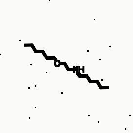 CCCCC=CNCCOC=CCCCC